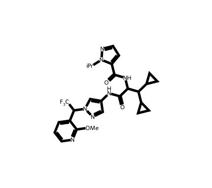 COc1ncccc1C(n1cc(NC(=O)C(NC(=O)c2ccnn2C(C)C)C(C2CC2)C2CC2)cn1)C(F)(F)F